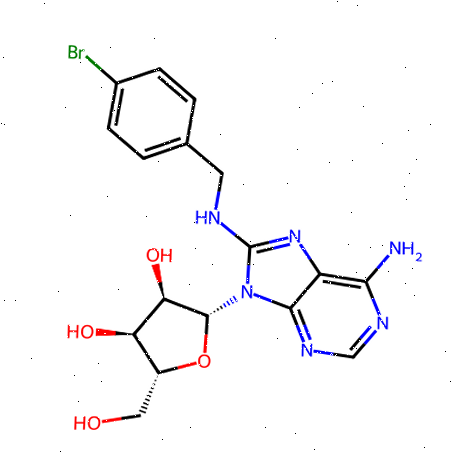 Nc1ncnc2c1nc(NCc1ccc(Br)cc1)n2[C@@H]1O[C@H](CO)[C@@H](O)[C@H]1O